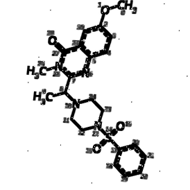 COc1ccc2nc(C(C)N3CCN(S(=O)(=O)c4ccccc4)CC3)n(C)c(=O)c2c1